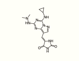 CN(C)Nc1nc(NC2CC2)n2ncc(/C=C3\NC(=O)NC3=O)c2n1